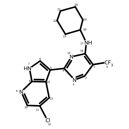 FC(F)(F)c1cnc(-c2c[nH]c3ncc(Cl)cc23)nc1NC1CCCCC1